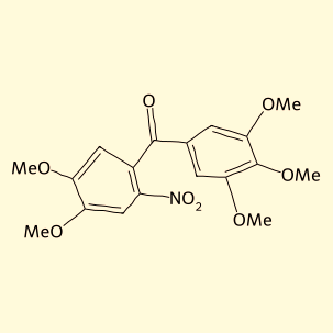 COc1cc(C(=O)c2cc(OC)c(OC)c(OC)c2)c([N+](=O)[O-])cc1OC